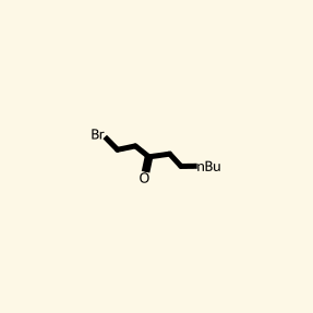 CCCCCCC(=O)CCBr